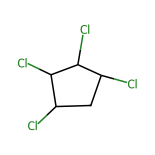 ClC1CC(Cl)C(Cl)C1Cl